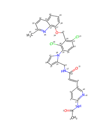 CC(=O)Nc1ccc(/C=C/C(=O)NCc2cccn2-c2ccc(Cl)c(COc3cccc4ccc(C)nc34)c2Cl)cn1